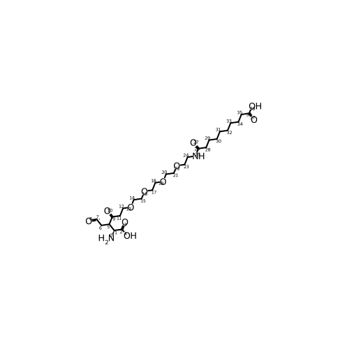 N[C@H](C(=O)O)C(C[C]=O)C(=O)CCOCCOCCOCCOCCNC(=O)CCCCCCCCC(=O)O